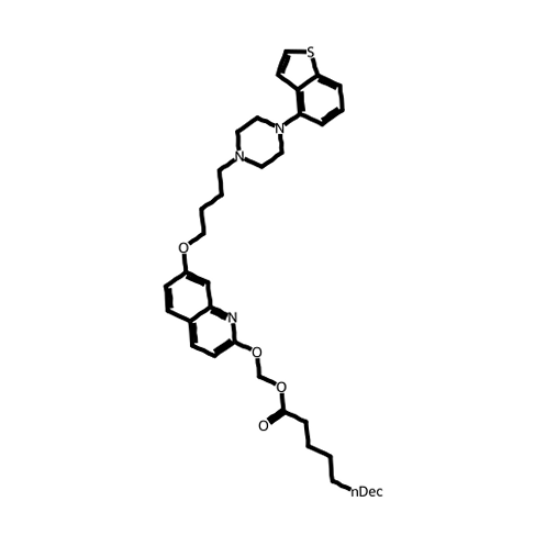 CCCCCCCCCCCCCCC(=O)OCOc1ccc2ccc(OCCCCN3CCN(c4cccc5sccc45)CC3)cc2n1